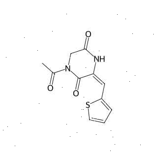 CC(=O)N1CC(=O)NC(=Cc2cccs2)C1=O